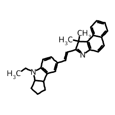 CCN1c2ccc(/C=C/C3=Nc4ccc5ccccc5c4C3(C)C)cc2C2CCCC21